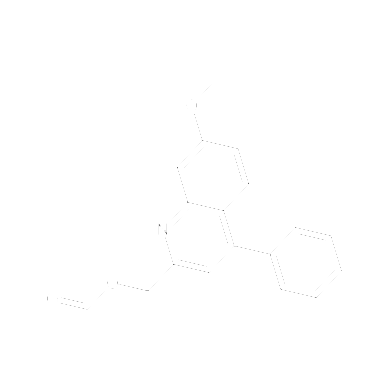 COc1ccc2c(-c3ccccc3)cc(COC=O)nc2c1